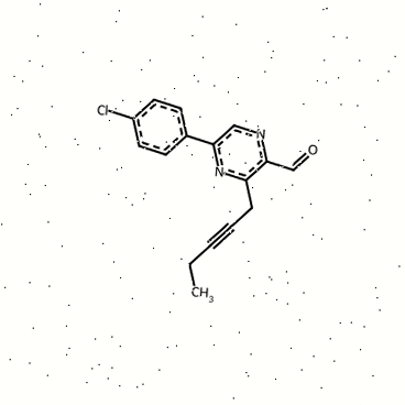 CCC#CCc1nc(-c2ccc(Cl)cc2)cnc1C=O